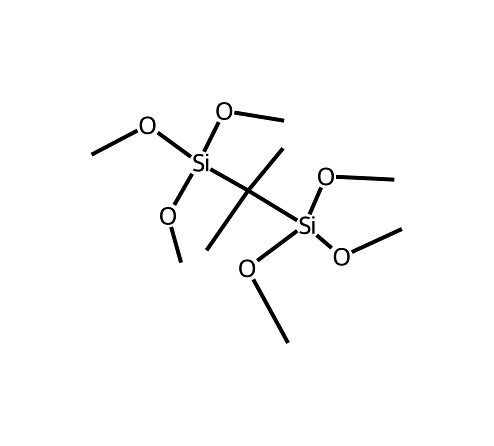 CO[Si](OC)(OC)C(C)(C)[Si](OC)(OC)OC